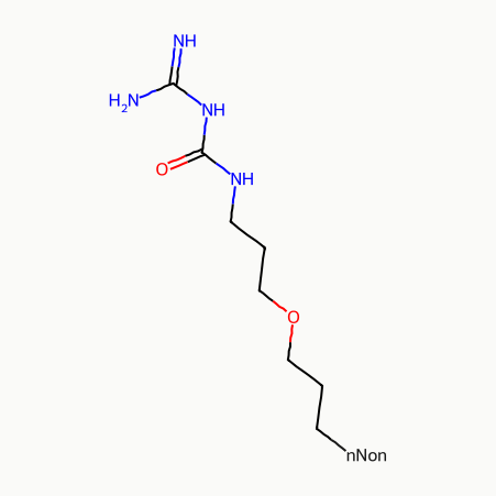 CCCCCCCCCCCCOCCCNC(=O)NC(=N)N